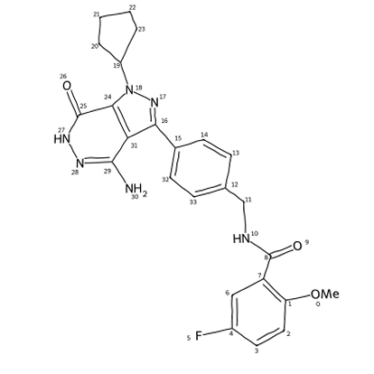 COc1ccc(F)cc1C(=O)NCc1ccc(-c2nn(C3CCCC3)c3c(=O)[nH]nc(N)c23)cc1